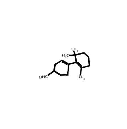 CC1=C(C2=CCC(C=O)CC2)C(C)(C)CCC1